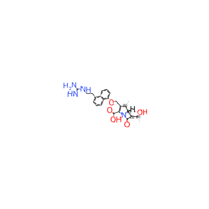 C[C@@H](O)[C@H]1C(=O)N2C(C(=O)O)=C(COc3cccc4c(CCNC(=N)N)cccc34)[C@H](C)[C@H]12